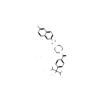 CC(C)C(N)(c1ccc(C(=O)N2CCN(S(=O)(=O)c3ccc4cc(Cl)ccc4c3)CC2)cc1)C(C)C.Cl